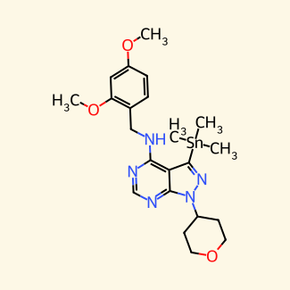 COc1ccc(CNc2ncnc3c2[c]([Sn]([CH3])([CH3])[CH3])nn3C2CCOCC2)c(OC)c1